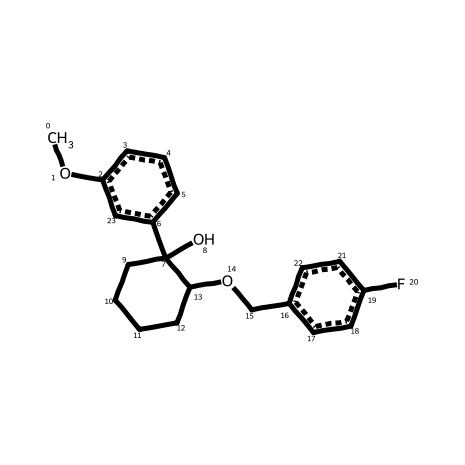 COc1cccc(C2(O)CCCCC2OCc2ccc(F)cc2)c1